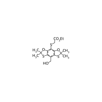 CCOC(=O)CSc1c2c(c(CO)c3c1OC(C)(C)S3)SC(C)(C)O2